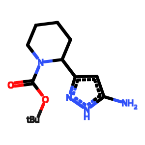 CC(C)(C)OC(=O)N1CCCCC1c1cc(N)[nH]n1